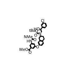 CNC(=O)Nc1cc(Oc2ccc3c(c2)C[C@@H](N(C[C@@H](O)c2cccc(Cl)c2)C(=O)OC(C)(C)C)CC3)cc(C(=O)OC)c1